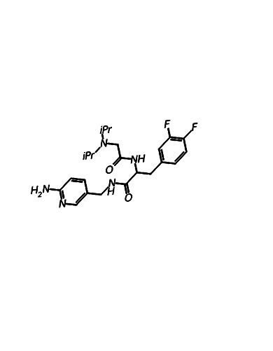 CC(C)N(CC(=O)NC(Cc1ccc(F)c(F)c1)C(=O)NCc1ccc(N)nc1)C(C)C